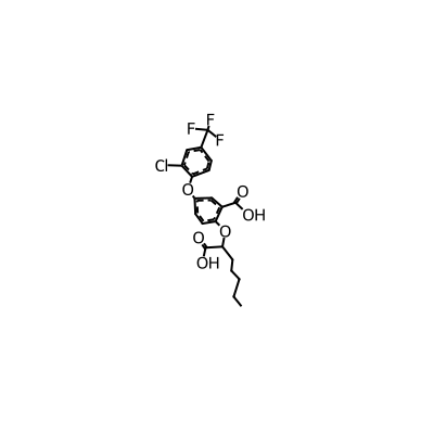 CCCCCC(Oc1ccc(Oc2ccc(C(F)(F)F)cc2Cl)cc1C(=O)O)C(=O)O